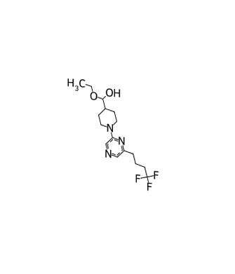 CCOC(O)C1CCN(c2cncc(CCCC(F)(F)F)n2)CC1